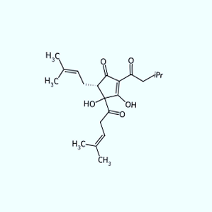 CC(C)=CCC(=O)C1(O)C(O)=C(C(=O)CC(C)C)C(=O)[C@H]1CC=C(C)C